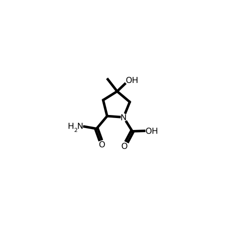 CC1(O)CC(C(N)=O)N(C(=O)O)C1